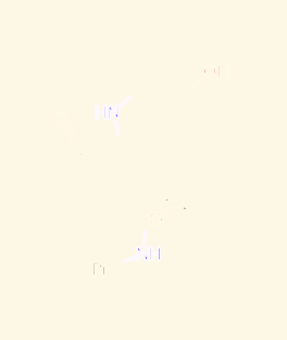 CC(C)NC(C)CC1(C(=O)c2ccccc2)NC=C(O)C=C1C(=O)c1ccccc1